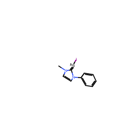 Cn1ccn(-c2ccccc2)[c]1=[Ag][I]